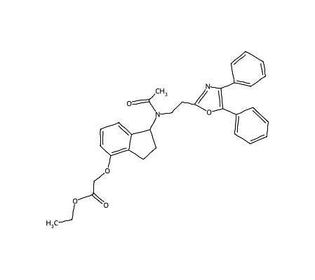 CCOC(=O)COc1cccc2c1CCC2N(CCc1nc(-c2ccccc2)c(-c2ccccc2)o1)C(C)=O